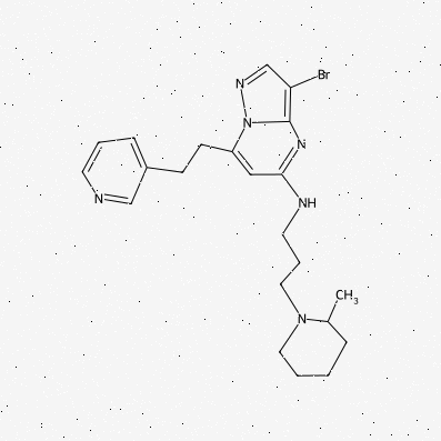 CC1CCCCN1CCCNc1cc(CCc2cccnc2)n2ncc(Br)c2n1